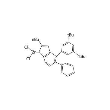 CCCCC1=Cc2c(ccc(-c3ccccc3)c2-c2cc(C(C)(C)C)cc(C(C)(C)C)c2)[CH]1[Zr]([Cl])[Cl]